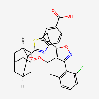 Cc1cccc(Cl)c1-c1noc(C2CC2)c1CO[C@@]12CC3C[C@H](C1)[C@](O)(c1nc4ccc(C(=O)O)cc4s1)[C@@H](C3)C2